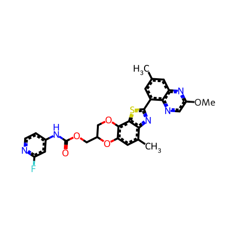 COc1cnc2c(-c3nc4c(C)cc5c(c4s3)OCC(COC(=O)Nc3ccnc(F)c3)O5)cc(C)cc2n1